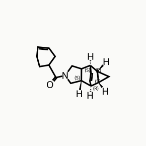 O=C(C1CC=CCC1)N1CC2[C@@H](C1)[C@H]1C=C[C@@H]2[C@@H]2C[C@H]12